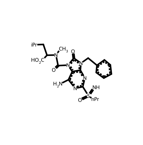 CCCS(=N)(=O)c1nc(N)c2c(n1)n(Cc1ccccc1)c(=O)n2C(=O)N(C)C(CC(C)C)C(=O)O